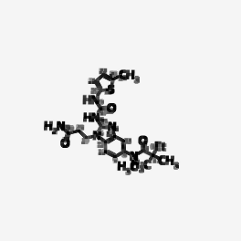 CCC(C)(C)C(=O)N(C)c1ccc2c(c1)nc(NC(=O)Nc1ccc(C)s1)n2CCC(N)=O